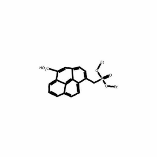 CCOP(=O)(Cc1ccc2cc(C(=O)O)c3cccc4ccc1c2c43)OCC